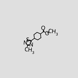 COC(=O)C1CCC(c2nc(C)ns2)CC1